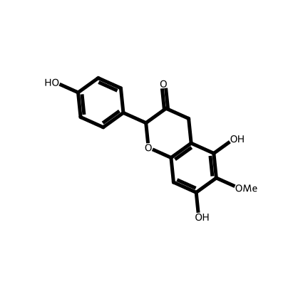 COc1c(O)cc2c(c1O)CC(=O)C(c1ccc(O)cc1)O2